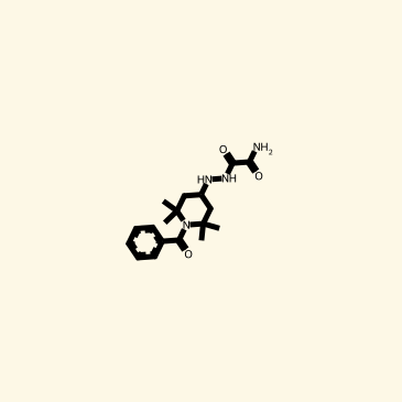 CC1(C)CC(NNC(=O)C(N)=O)CC(C)(C)N1C(=O)c1ccccc1